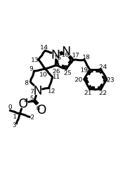 CC(C)(C)OC(=O)N1CCC2(CC1)CCn1nc(Cc3ccccc3)cc12